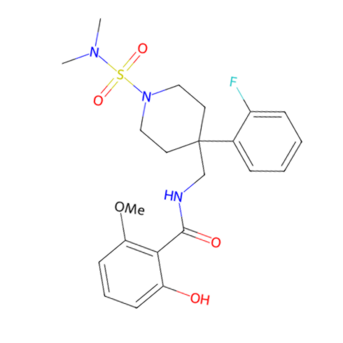 COc1cccc(O)c1C(=O)NCC1(c2ccccc2F)CCN(S(=O)(=O)N(C)C)CC1